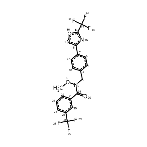 CON(Cc1ccc(-c2noc(C(F)(F)F)n2)cc1)C(=O)c1cccc(C(F)(F)F)c1